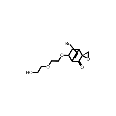 O=C1C2C=C(Br)C(CC2OCCOCCO)[C@@]12CO2